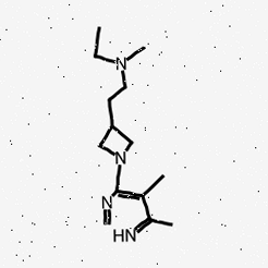 C=N/C(=C(/C)C(C)=N)N1CC(CCN(C)CC)C1